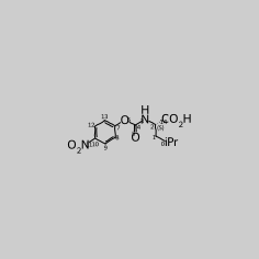 CC(C)C[C@H](NC(=O)Oc1ccc([N+](=O)[O-])cc1)C(=O)O